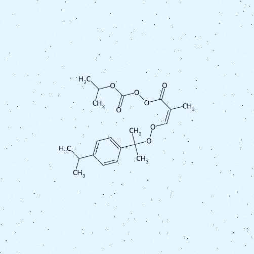 CC(=COOC(C)(C)c1ccc(C(C)C)cc1)C(=O)OOC(=O)OC(C)C